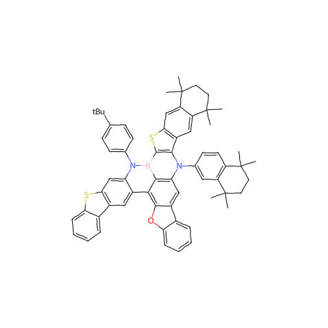 CC(C)(C)c1ccc(N2B3c4sc5cc6c(cc5c4N(c4ccc5c(c4)C(C)(C)CCC5(C)C)c4cc5c(oc7ccccc75)c(c43)-c3cc4c(cc32)sc2ccccc24)C(C)(C)CCC6(C)C)cc1